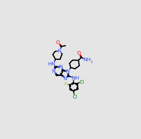 CC(=O)N1CCC(Nc2ncc3nc(Nc4c(F)cc(Cl)cc4Cl)n(C4CCC(C(N)=O)CC4)c3n2)CC1